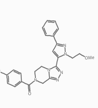 COCCn1nc(-c2ccccc2)cc1-c1nnc2n1CCN(C(=O)c1ccc(F)cc1)C2